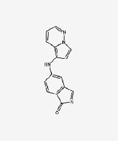 O=C1N=Cc2cc(Nc3ccn4ncccc34)ccc21